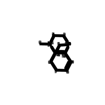 CN1CCP2CC3CC=CC2=C31